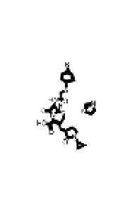 O=C(CSc1ccc(Br)cc1)N[C@@H]1C(=O)N2C(C(=O)O)=C(/C=C3\CCN(C4CC4)C3=O)CS[C@H]12.c1c[nH]cn1